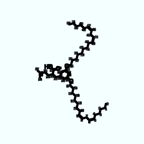 CCCCC/C=C\C/C=C\CCCCCCCCOc1cc(CC(CCN(C)C)C(=O)O)cc(OCCCCCCCC/C=C\C/C=C\CCCCC)n1